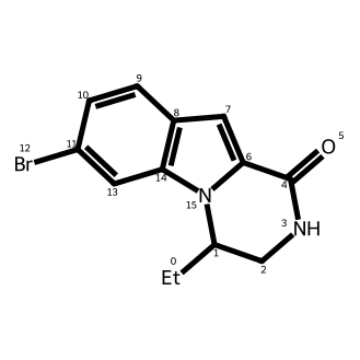 CCC1CNC(=O)c2cc3ccc(Br)cc3n21